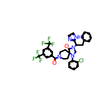 O=C(c1cc(C(F)(F)F)cc(C(F)(F)F)c1)N1CCC2(CC1)C(=O)N(C(Cc1ccccc1)c1ncc[nH]1)CN2c1ccccc1Cl